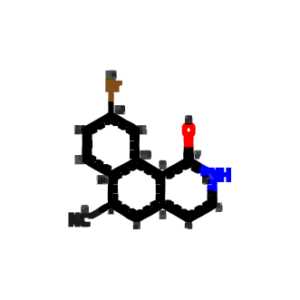 N#Cc1cc2cc[nH]c(=O)c2c2cc(Br)ccc12